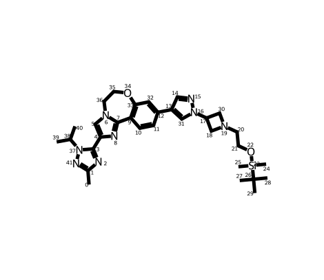 Cc1nc(-c2cn3c(n2)-c2ccc(-c4cnn(C5CN(CCO[Si](C)(C)C(C)(C)C)C5)c4)cc2OCC3)n(C(C)C)n1